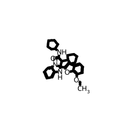 CCOc1cccc2cc(C3(C(C(=O)NC4CCCCC4)C4CCCCC4)Nc4ccccc4N3)oc12